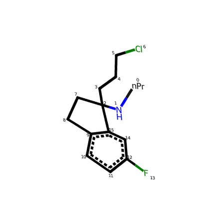 CCCNC1(CCCCl)CCc2ccc(F)cc21